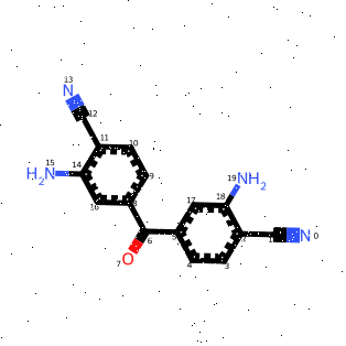 N#Cc1ccc(C(=O)c2ccc(C#N)c(N)c2)cc1N